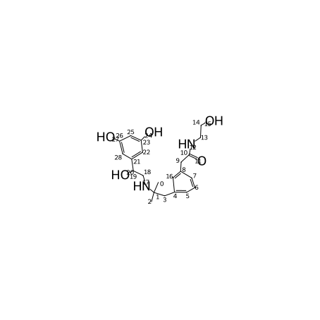 CC(C)(Cc1cccc(CC(=O)NCCO)c1)NCC(O)c1cc(O)cc(O)c1